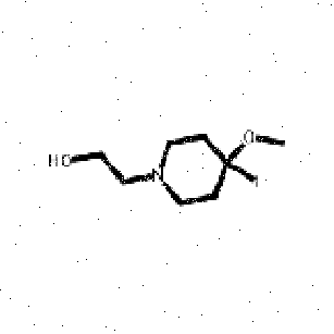 COC1(I)CCN(CCO)CC1